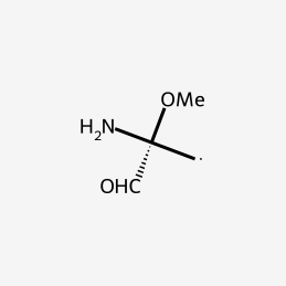 [CH2][C@](N)(C=O)OC